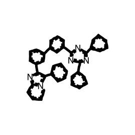 c1ccc(-c2nc(-c3ccccc3)nc(-c3cccc(-c4cccc(-c5nc6ccccn6c5-c5ccccc5)c4)c3)n2)cc1